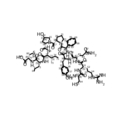 CCC[C@H](NC(=O)[C@@H](NC(=O)[C@@H]1C[C@@H](O)CN1C(=O)[C@@H]1CCCN1C(=O)[C@@H](NC(=O)[C@H](Cc1ccc(O)cc1)NC(=O)[C@H](CCC(N)=O)NC(=O)[C@H](CCCNC(=N)N)NC(=O)[C@@H](N)CS)c1ccccc1)[C@@H](C)CC)C(=O)N[C@@H](CS)C(=O)O